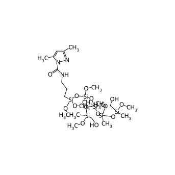 CO[Si](C)(CO)O[Si](C)(OC)O[Si](C)(O[Si](C)(CO)OC)O[Si](C)(OC)O[Si](CCCNC(=O)n1nc(C)cc1C)(OC)OC